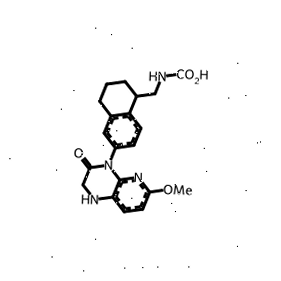 COc1ccc2c(n1)N(c1ccc3c(c1)CCCC3CNC(=O)O)C(=O)CN2